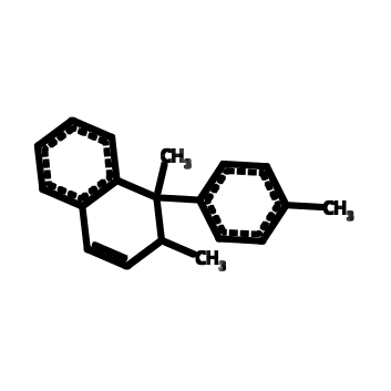 Cc1ccc(C2(C)c3ccccc3C=CC2C)cc1